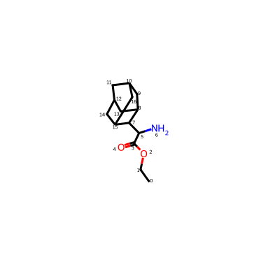 CCOC(=O)C(N)C1C2CC3CC(C2)CC1C3